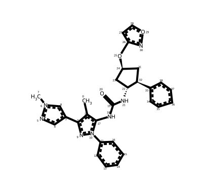 Cc1c(-c2cnn(C)c2)nn(-c2ccccc2)c1NC(=O)N[C@@H]1C[C@@H](Oc2ccon2)C[C@H]1c1ccccc1